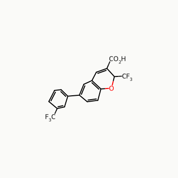 O=C(O)C1=Cc2cc(-c3cccc(C(F)(F)F)c3)ccc2OC1C(F)(F)F